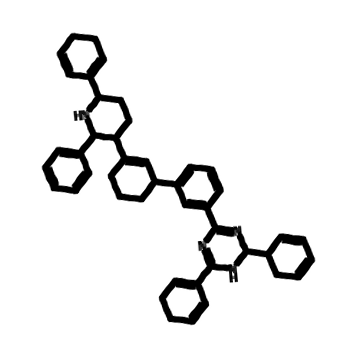 C1=CCC(C2N=C(c3cccc(C4C=C(C5CCC(C6=CCCC=C6)NC5c5ccccc5)CCC4)c3)N=C(C3=CCCC=C3)N2)C=C1